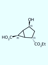 CCOC(=O)[C@H]1C[C@H](O)C2C1[C@H]2C(=O)O